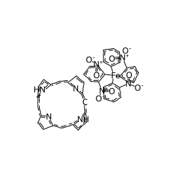 C1=Cc2cc3ccc(cc4nc(cc5ccc(cc1n2)[nH]5)C=C4)[nH]3.O=[N+]([O-])c1cccc[c]1[Fe]([c]1ccccc1[N+](=O)[O-])([c]1ccccc1[N+](=O)[O-])[c]1ccccc1[N+](=O)[O-]